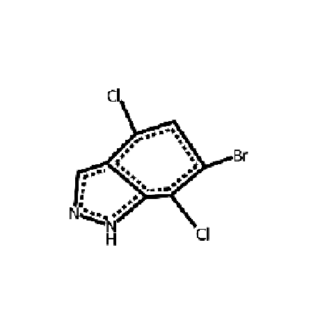 Clc1cc(Br)c(Cl)c2[nH]ncc12